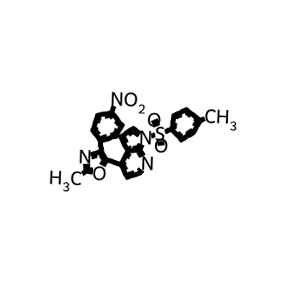 Cc1ccc(S(=O)(=O)n2ccc3c(-c4oc(C)nc4-c4ccc([N+](=O)[O-])cc4)ccnc32)cc1